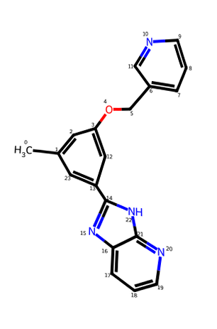 Cc1cc(OCc2cccnc2)cc(-c2nc3cccnc3[nH]2)c1